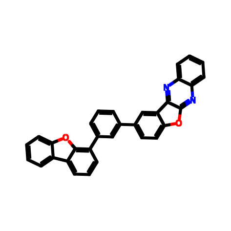 c1cc(-c2ccc3oc4nc5ccccc5nc4c3c2)cc(-c2cccc3c2oc2ccccc23)c1